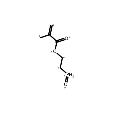 C=C(C)C(=O)OCC[PH2]=O